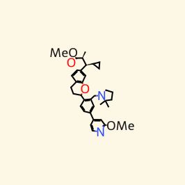 COC(=O)[C@@H](C)[C@H](c1ccc2c(c1)OC(c1ccc(-c3ccnc(OC)c3)cc1CN1CCCC1(C)C)CC2)C1CC1